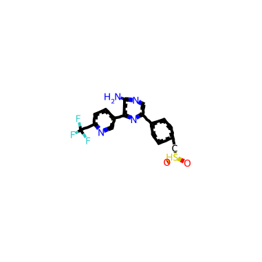 Nc1ncc(-c2ccc(C[SH](=O)=O)cc2)nc1-c1ccc(C(F)(F)F)nc1